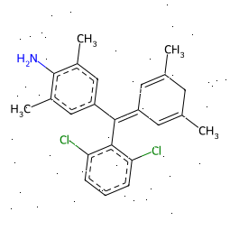 CC1=CC(=C(c2cc(C)c(N)c(C)c2)c2c(Cl)cccc2Cl)C=C(C)C1